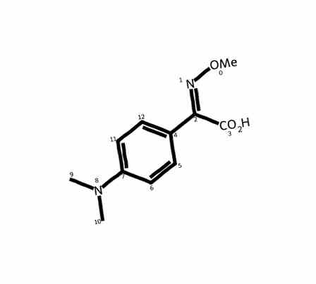 CON=C(C(=O)O)c1ccc(N(C)C)cc1